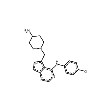 NC1CCN(Cc2ccn3ncnc(Nc4ccc(Cl)cc4)c23)CC1